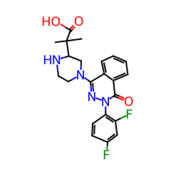 CC(C)(C(=O)O)C1CN(c2nn(-c3ccc(F)cc3F)c(=O)c3ccccc23)CCN1